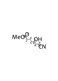 COC(=O)CCCC(O)CCC#N